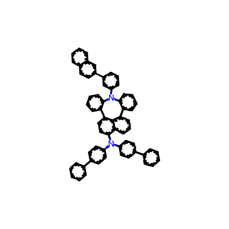 c1ccc(-c2ccc(N(c3ccc(-c4ccccc4)cc3)c3ccc4c5c(cccc35)-c3ccccc3N(c3cccc(-c5ccc6ccccc6c5)c3)c3ccccc3-4)cc2)cc1